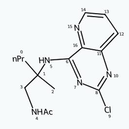 CCCC(C)(CNC(C)=O)Nc1nc(Cl)nc2cccnc12